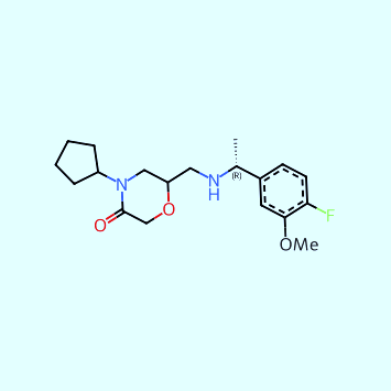 COc1cc([C@@H](C)NCC2CN(C3CCCC3)C(=O)CO2)ccc1F